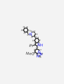 COc1cc(-c2[nH]c3ccc(C4=CCCN(Cc5ccccc5)C4)cc3c2C(C)C)cn2ncnc12